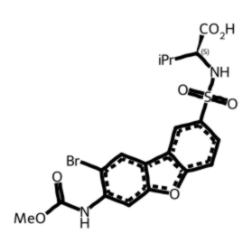 COC(=O)Nc1cc2oc3ccc(S(=O)(=O)N[C@H](C(=O)O)C(C)C)cc3c2cc1Br